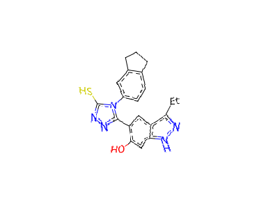 CCc1n[nH]c2cc(O)c(-c3nnc(S)n3-c3ccc4c(c3)CCC4)cc12